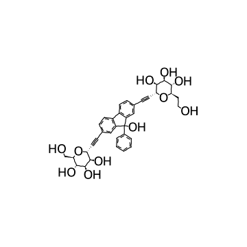 OCC[C@H]1O[C@H](C#Cc2ccc3c(c2)C(O)(c2ccccc2)c2cc(C#C[C@H]4O[C@H](CO)[C@@H](O)[C@H](O)[C@@H]4O)ccc2-3)[C@@H](O)[C@@H](O)[C@@H]1O